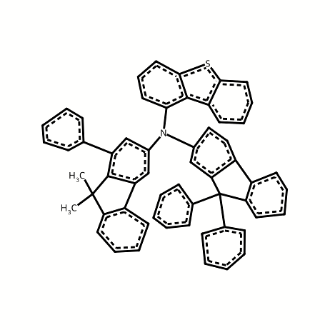 CC1(C)c2ccccc2-c2cc(N(c3ccc4c(c3)C(c3ccccc3)(c3ccccc3)c3ccccc3-4)c3cccc4sc5ccccc5c34)cc(-c3ccccc3)c21